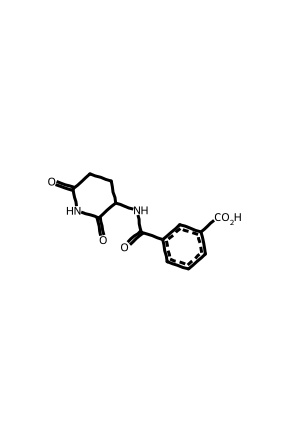 O=C1CCC(NC(=O)c2cccc(C(=O)O)c2)C(=O)N1